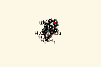 Cc1ccc(-c2ccccc2)cc1N1c2cc(C(C)(C)C)ccc2B2c3cc4c5cc3N(c3ccc(C(C)(C)C)cc3-c3ccc6c(c3)C(C)(C)CCC6(C)CC5(C)CC4(C)C)c3cc(N(c4ccccc4)c4ccccc4)cc1c32